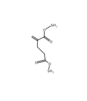 C=C(CCC(=S)O[SiH3])C(=O)O[SiH3]